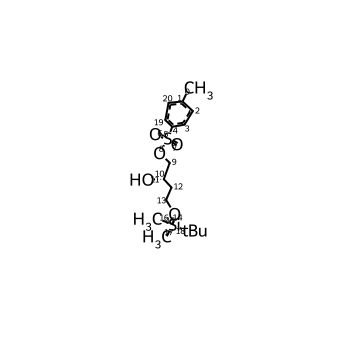 Cc1ccc(S(=O)(=O)OC[C@@H](O)CCO[Si](C)(C)C(C)(C)C)cc1